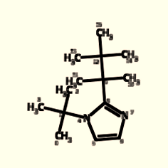 CC(C)(C)n1ccnc1C(C)(C)C(C)(C)C